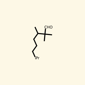 CC(C)CCCC(C)C(C)(C)C=O